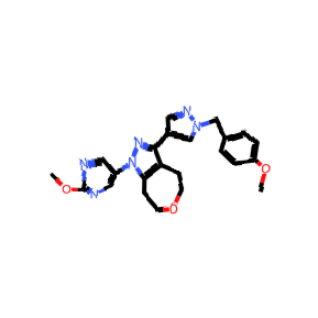 COc1ccc(Cn2cc(-c3nn(-c4cnc(OC)nc4)c4c3CCOCC4)cn2)cc1